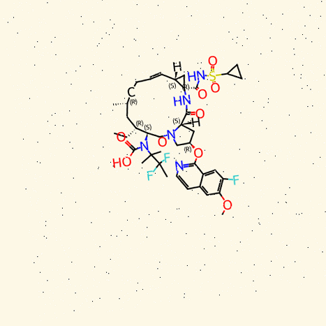 CC[C@@H]1C[C@H](C)CCC=C[C@@H]2C[C@@]2(C(=O)NS(=O)(=O)C2CC2)NC(=O)[C@@H]2C[C@@H](Oc3nccc4cc(OC)c(F)cc34)CN2C(=O)[C@H]1N(C(=O)O)C(C)(C)C(C)(F)F